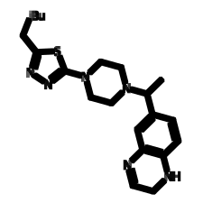 CCC(C)Cc1nnc(N2CCN(C(C)c3ccc4c(c3)N=CCN4)CC2)s1